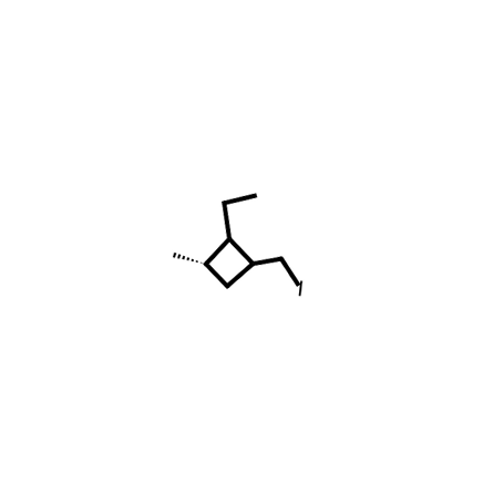 CCC1C(CI)C[C@@H]1C